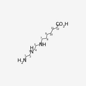 NCCNCCNCCCCCCC(=O)O